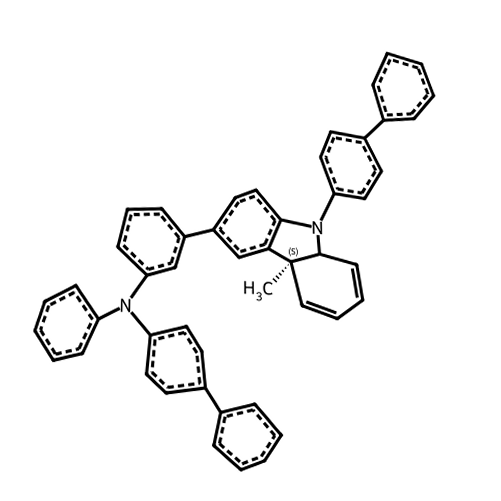 C[C@@]12C=CC=CC1N(c1ccc(-c3ccccc3)cc1)c1ccc(-c3cccc(N(c4ccccc4)c4ccc(-c5ccccc5)cc4)c3)cc12